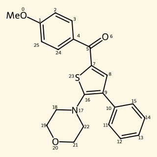 COc1ccc(C(=O)c2cc(-c3ccccc3)c(N3CCOCC3)s2)cc1